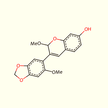 COc1cc2c(cc1C1=Cc3ccc(O)cc3OC1OC)OCO2